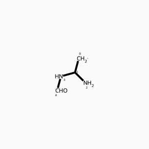 [CH2]C(N)NC=O